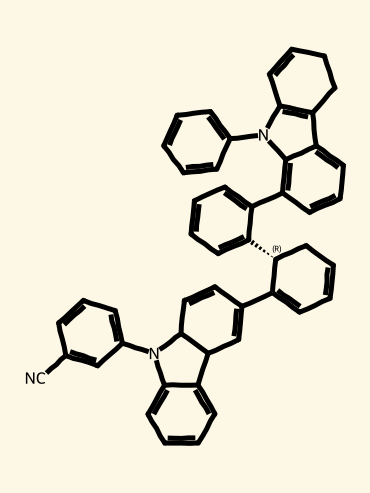 N#Cc1cccc(N2c3ccccc3C3C=C(C4=CC=CC[C@H]4c4ccccc4-c4cccc5c6c(n(-c7ccccc7)c45)C=CCC6)C=CC32)c1